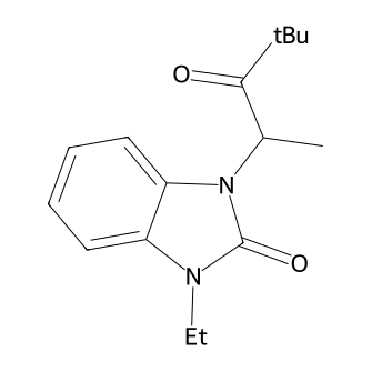 CCn1c(=O)n(C(C)C(=O)C(C)(C)C)c2ccccc21